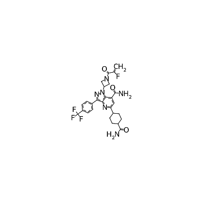 C=C(F)C(=O)N1CC(n2nc(-c3ccc(C(F)(F)F)cc3)c3nc(C4CCC(C(N)=O)CC4)cc(C(N)=O)c32)C1